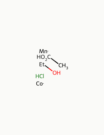 CC(=O)O.CCO.Cl.[Co].[Mn]